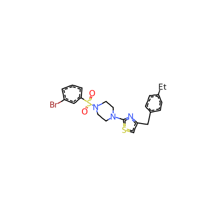 CCc1ccc(Cc2csc(N3CCN(S(=O)(=O)c4cccc(Br)c4)CC3)n2)cc1